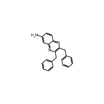 Nc1ccc2nc(Cc3ccccc3)c(Cc3ccccc3)nc2c1